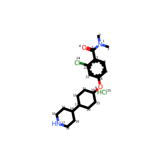 CN(C)C(=O)c1ccc(OC2CCC(C3CCNCC3)CC2)cc1Cl.Cl